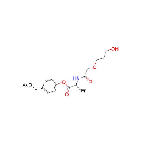 CC(=O)OCc1ccc(OC(=O)C(NC(=O)COCCCO)C(C)C)cc1